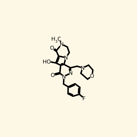 CN1CCn2c(c(O)c3c(=O)n(Cc4ccc(F)cc4)nc(CN4CCOCC4)c32)C1=O